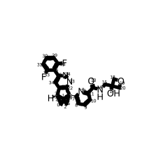 CC1(C)[C@H]2CC[C@]1(c1cccc(C(=O)NCC3(O)COC3)n1)c1nnc(-c3c(F)cccc3F)cc12